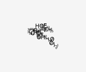 CCCCOC(=O)CCCCCC[C@@H]1[C@@H](CCC(O)C(F)(F)CCCC)[C@H](OC2CCCCO2)C[C@@H]1O